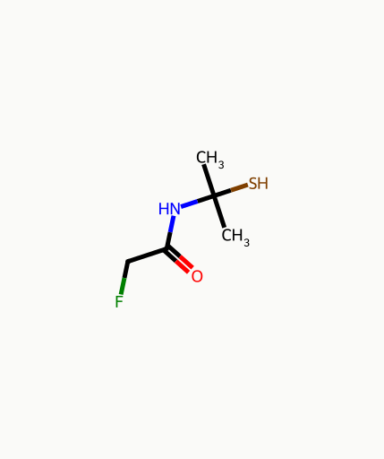 CC(C)(S)NC(=O)CF